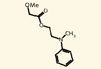 COCC(=O)OCCN(C)c1ccccc1